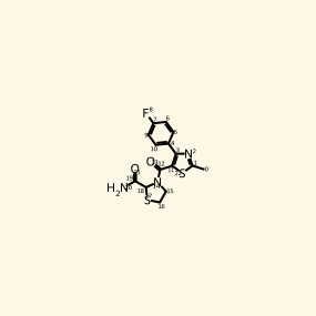 Cc1nc(-c2ccc(F)cc2)c(C(=O)N2CCSC2C(N)=O)s1